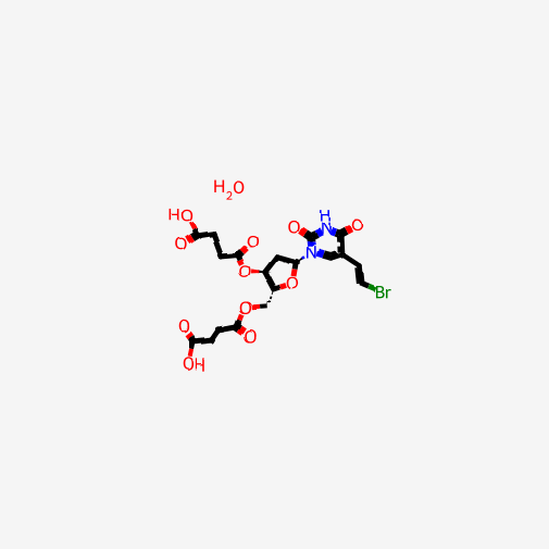 O.O=C(O)CCC(=O)OC[C@H]1O[C@@H](n2cc(/C=C/Br)c(=O)[nH]c2=O)C[C@@H]1OC(=O)CCC(=O)O